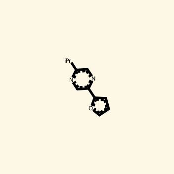 CC(C)c1cnc(-c2ccco2)cn1